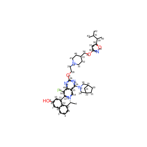 CCc1cccc2cc(O)cc(-c3ncc4c(N5CC6CCC(C6)C5)nc(OCCN5CCC(COc6cc(C(C)C(C)C)on6)CC5)nc4c3F)c12